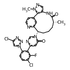 C[C@@H]1CCC[C@H](n2cnc(-c3c(-n4cc(Cl)nn4)ccc(Cl)c3F)cc2=O)c2cc(ccn2)-c2c(cnn2C)NC1=O